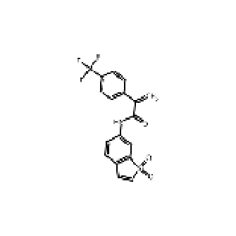 C=C(C(=O)Nc1ccc2c(c1)S(=O)(=O)C=C2)c1ccc(C(F)(F)F)cc1